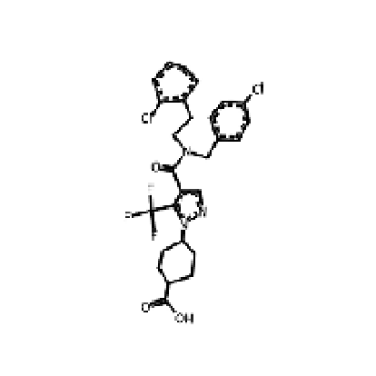 O=C(O)C1CCC(n2ncc(C(=O)N(CCc3ccccc3Cl)Cc3ccc(Cl)cc3)c2C(F)(F)F)CC1